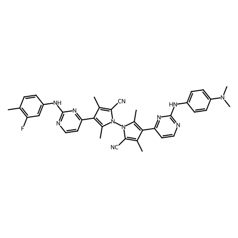 Cc1ccc(Nc2nccc(-c3c(C)c(C#N)n(-n4c(C)c(-c5ccnc(Nc6ccc(N(C)C)cc6)n5)c(C)c4C#N)c3C)n2)cc1F